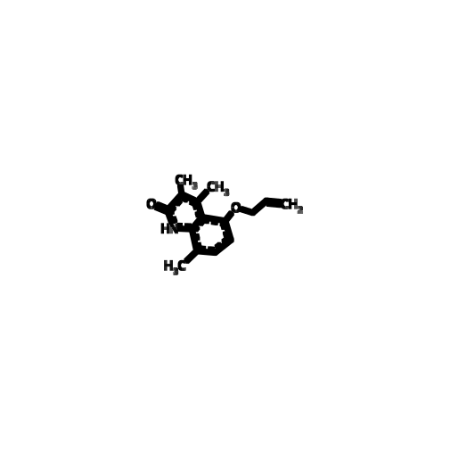 C=CCOc1ccc(C)c2[nH]c(=O)c(C)c(C)c12